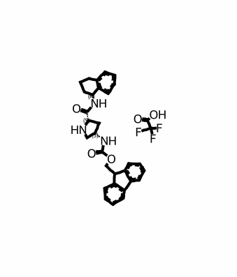 O=C(N[C@@H]1CN[C@H](C(=O)N[C@@H]2CCCc3ccccc32)C1)OCC1c2ccccc2-c2ccccc21.O=C(O)C(F)(F)F